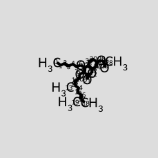 CCC=CCCOc1c(OCC=C(C)CCC=C(C)C)c(=O)oc2cc(OC(C)=O)ccc12